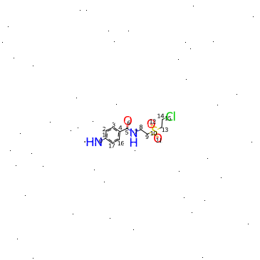 [NH]c1ccc(C(=O)NCCS(=O)(=O)CCCl)cc1